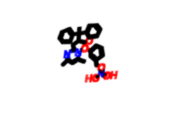 Cc1cc(C)nc(CC(C(=O)Oc2cccc(CON(O)O)c2)C(C)(c2ccccc2)c2ccccc2)n1